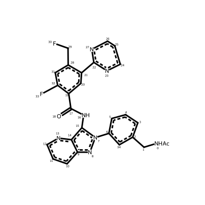 CC(=O)NCc1cccc(-n2nc3cccnc3c2NC(=O)c2cc(-c3ncccn3)c(CF)cc2F)c1